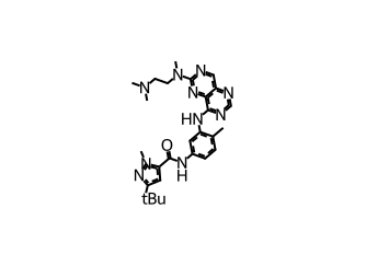 Cc1ccc(NC(=O)c2cc(C(C)(C)C)nn2C)cc1Nc1ncnc2cnc(N(C)CCN(C)C)nc12